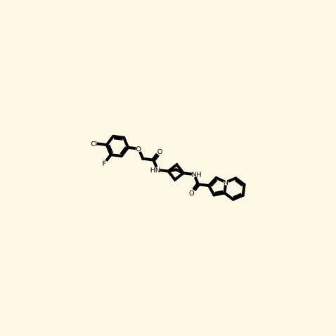 O=C(COc1ccc(Cl)c(F)c1)NC12CC(NC(=O)c3cc4ccccn4c3)(C1)C2